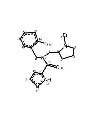 CCN1CCCC1CN(Cc1ccccc1Cl)C(=O)c1ccn[nH]1